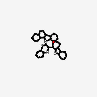 c1ccc2c(c1)ccc1c3ccccc3n(-c3nc4ccccc4nc3-c3cccc4c3oc3ccccc34)c21